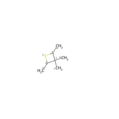 C[C]1SC(C)C1(C)C